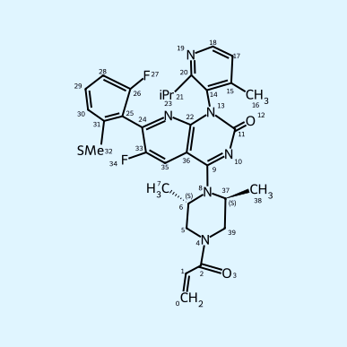 C=CC(=O)N1C[C@H](C)N(c2nc(=O)n(-c3c(C)ccnc3C(C)C)c3nc(-c4c(F)cccc4SC)c(F)cc23)[C@@H](C)C1